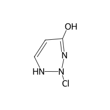 OC1=NN(Cl)NC=C1